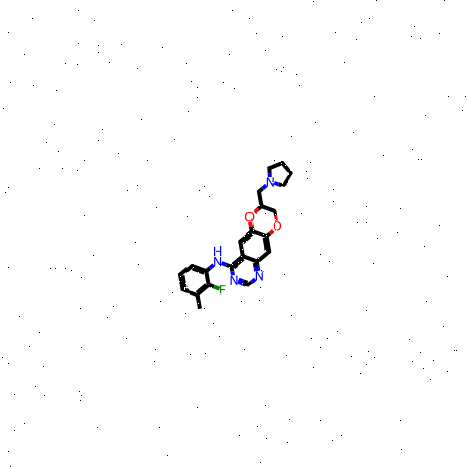 Cc1cccc(Nc2ncnc3cc4c(cc23)OC(CN2CCCC2)CO4)c1F